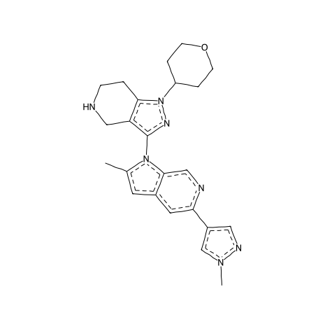 Cc1cc2cc(-c3cnn(C)c3)ncc2n1-c1nn(C2CCOCC2)c2c1CNCC2